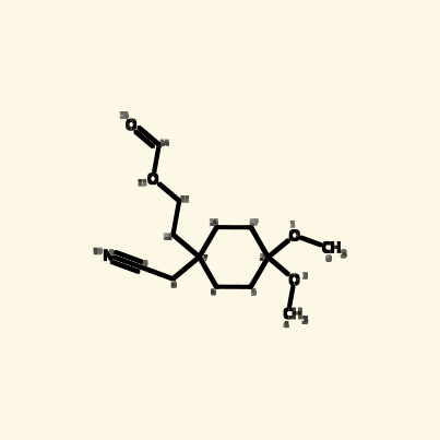 COC1(OC)CCC(CC#N)(CCOC=O)CC1